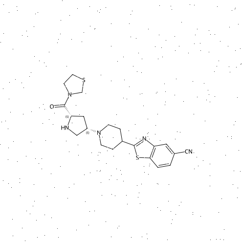 N#Cc1ccc2sc(C3CCN([C@@H]4CN[C@H](C(=O)N5CCSC5)C4)CC3)nc2c1